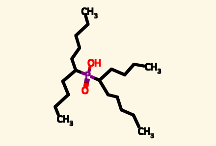 CCCCCC(CCCC)P(=O)(O)C(CCCC)CCCCC